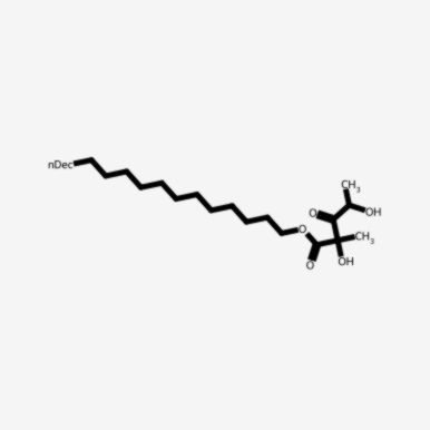 CCCCCCCCCCCCCCCCCCCCCCOC(=O)C(C)(O)C(=O)C(C)O